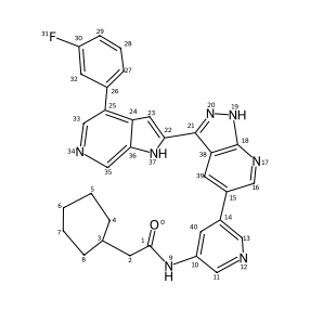 O=C(CC1CCCCC1)Nc1cncc(-c2cnc3[nH]nc(-c4cc5c(-c6cccc(F)c6)cncc5[nH]4)c3c2)c1